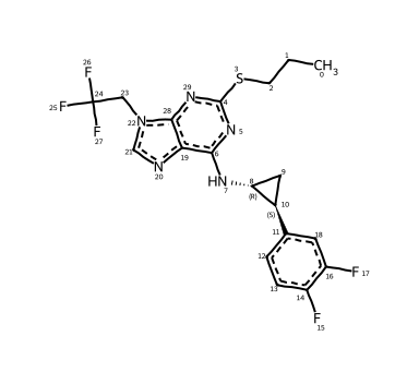 CCCSc1nc(N[C@@H]2C[C@H]2c2ccc(F)c(F)c2)c2ncn(CC(F)(F)F)c2n1